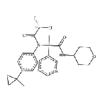 CC1(c2ccc(N(C(=O)[C@H](F)Cl)C(C)(C(=O)NC3CCOCC3)c3cncnc3)cc2)CC1